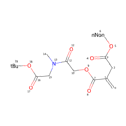 C=C(CC(=O)OCCCCCCCCC)C(=O)OCC(=O)N(C)CC(=O)OC(C)(C)C